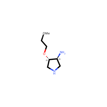 COCCO[C@H]1CNC[C@@H]1N